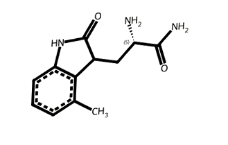 Cc1cccc2c1C(C[C@H](N)C(N)=O)C(=O)N2